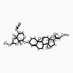 CCOC1O[C@H]2[C@H](O[C@@H]3C=C4CCC5C(CC[C@]6(C)[C@@H](/C(C)=C/OC)CC[C@]56O)[C@@]4(C)CC3)OC[C@H](N=[N+]=[N-])[C@H]2O1